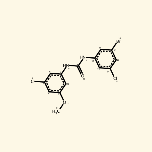 COc1cc(Cl)cc(NC(=O)Nc2cc(Cl)cc(Br)c2)c1